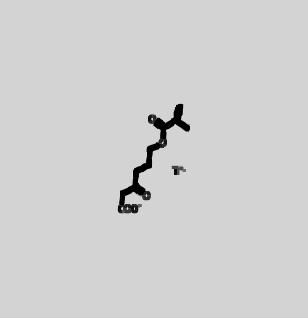 C=C(C)C(=O)OCCCC(=O)CC(=O)[O-].[Ti+]